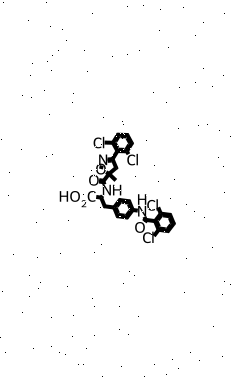 CC1(C(=O)NC(Cc2ccc(NC(=O)c3c(Cl)cccc3Cl)cc2)C(=O)O)CC(c2c(Cl)cccc2Cl)=NO1